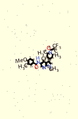 COc1ccc(C(=O)Nc2cnc3c(c([C@@H]4CCN(C(=O)[C@@H](C)C(F)(F)F)[C@@H](C)C4)cn3C)c2C)cc1C